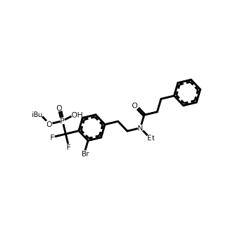 CCC(C)OP(=O)(O)C(F)(F)c1ccc(CCN(CC)C(=O)CCc2ccccc2)cc1Br